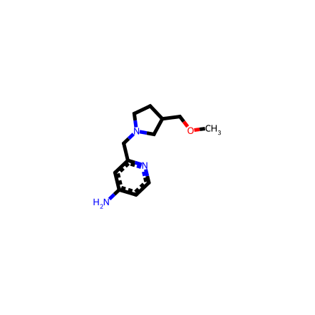 COCC1CCN(Cc2cc(N)ccn2)C1